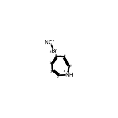 C1=CC=CNC=C1.N#CBr